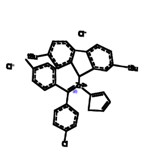 Cc1ccc(/[C](c2ccc(Cl)cc2)=[Zr+2](/[C]2=CC=CC2)[CH]2c3cc(C(C)(C)C)ccc3-c3ccc(C(C)(C)C)cc32)cc1.[Cl-].[Cl-]